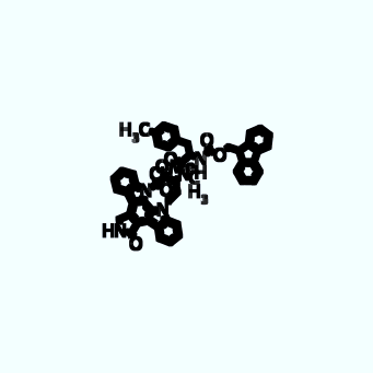 COC1C(N(C)C(=O)C(Cc2ccc(C)cc2)NC(=O)OCC2c3ccccc3-c3ccccc32)CC2OC1(C)n1c3ccccc3c3c4c(c5c6ccccc6n2c5c31)C(=O)NC4